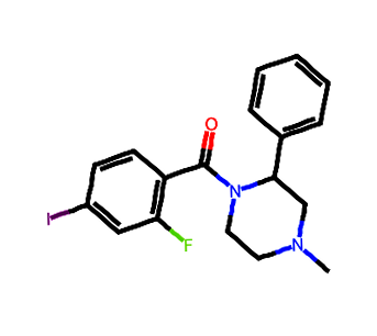 CN1CCN(C(=O)c2ccc(I)cc2F)C(c2ccccc2)C1